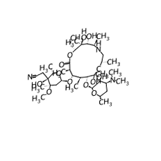 CC[C@H]1OC(=O)[C@H](C)[C@@H](O[C@H]2C[C@@](C)(OC)[C@](O)(CC#N)[C@H](C)O2)[C@H](C)[C@@H](O[C@@H]2O[C@H](C)C[C@H](N(C)C)[C@H]2O)[C@](C)(O)C[C@@H](C)CN[C@H](C)[C@@H](O)[C@]1(C)O